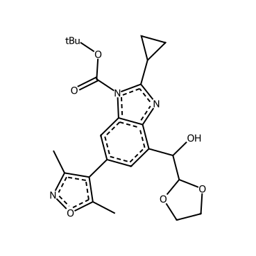 Cc1noc(C)c1-c1cc(C(O)C2OCCO2)c2nc(C3CC3)n(C(=O)OC(C)(C)C)c2c1